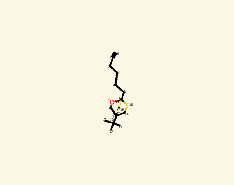 C#CCCCCC12OCC(C(C)(C)C)(CS1)CS2